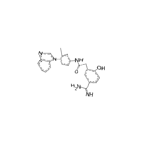 Cc1cc(NC(=O)Cc2cc(C(=N)N)ccc2O)ccc1-n1cnc2ccccc21